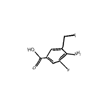 Nc1c(F)cc(C(=O)O)cc1CI